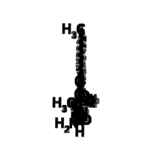 CCCCCCCCCCCCCCCCOCCCOP(=O)(COC(C)Cn1cnc2c(=O)[nH]c(N)nc21)Oc1ccccc1